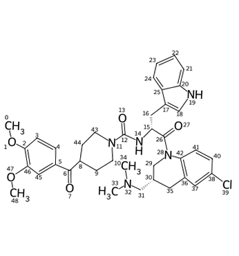 COc1ccc(C(=O)C2CCN(C(=O)N[C@H](Cc3c[nH]c4ccccc34)C(=O)N3C[C@@H](CN(C)C)Cc4cc(Cl)ccc43)CC2)cc1OC